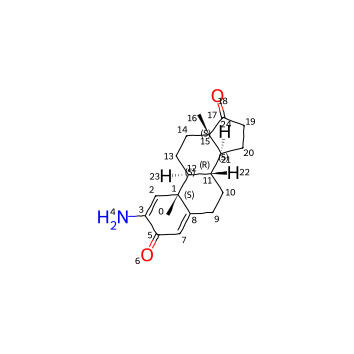 C[C@]12C=C(N)C(=O)C=C1CC[C@@H]1[C@@H]2CC[C@]2(C)C(=O)CC[C@@H]12